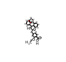 CCOc1cc(CC(=O)NC(c2ccccc2)c2ccccc2N2CCCC2)ccc1C(=O)O